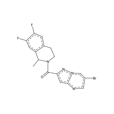 CC1c2cc(F)c(F)cc2CCN1C(=O)c1cc2ncc(Br)cn2n1